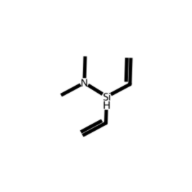 C=C[SiH](C=C)N(C)C